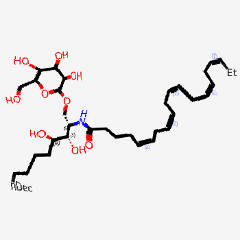 CC/C=C\C/C=C\C/C=C\C/C=C\C/C=C\CCCC(=O)N[C@@H](COC1OC(CO)C(O)C(O)C1O)[C@H](O)[C@H](O)CCCCCCCCCCCCCC